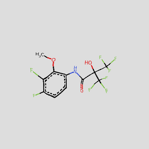 COc1c(NC(=O)C(O)(C(F)(F)F)C(F)(F)F)ccc(F)c1F